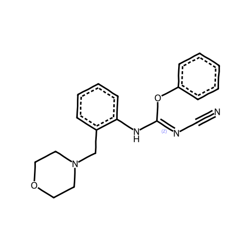 N#C/N=C(/Nc1ccccc1CN1CCOCC1)Oc1ccccc1